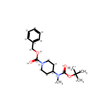 CN(C(=O)OC(C)(C)C)C1CCN(C(=O)OCc2ccccc2)CC1